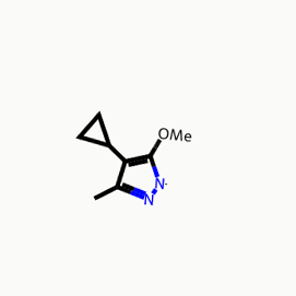 COC1=C(C2CC2)C(C)=N[N]1